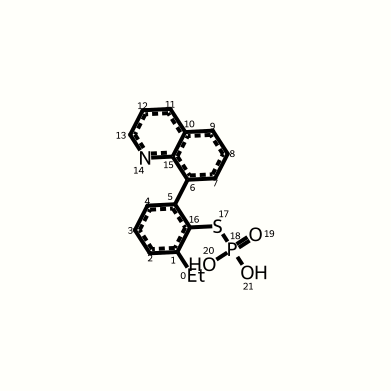 CCc1cccc(-c2cccc3cccnc23)c1SP(=O)(O)O